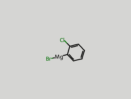 Clc1cccc[c]1[Mg][Br]